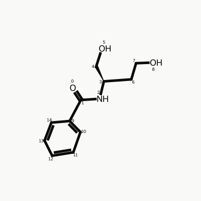 O=C(N[C@@H](CO)CCO)c1ccccc1